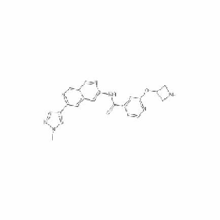 Cn1cc(-c2cc3cc(NC(=O)c4ccnc(OC5CNC5)c4)ncc3cn2)cn1